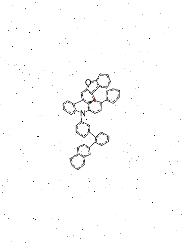 c1ccc(-c2ccc(N(c3cccc(-c4ccccc4-c4ccc5ccccc5c4)c3)c3ccccc3-c3ccc4c(c3)oc3ccccc34)cc2)cc1